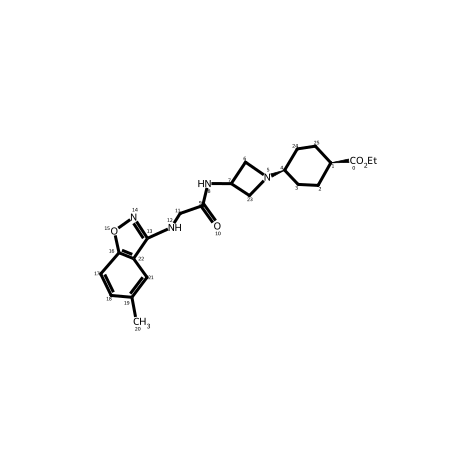 CCOC(=O)[C@H]1CC[C@@H](N2CC(NC(=O)CNc3noc4ccc(C)cc34)C2)CC1